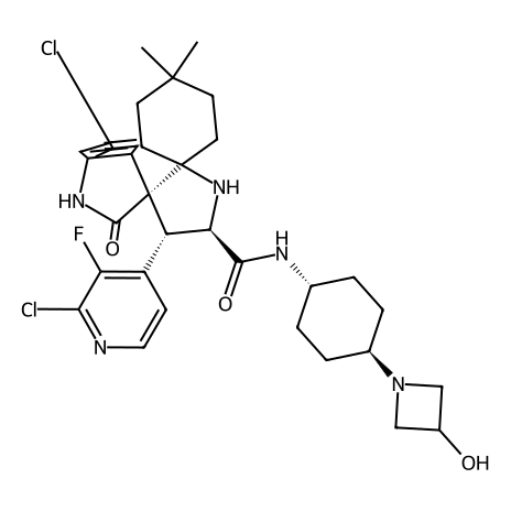 CC1(C)CCC2(CC1)N[C@@H](C(=O)N[C@H]1CC[C@H](N3CC(O)C3)CC1)[C@H](c1ccnc(Cl)c1F)[C@]21C(=O)Nc2cc(Cl)ccc21